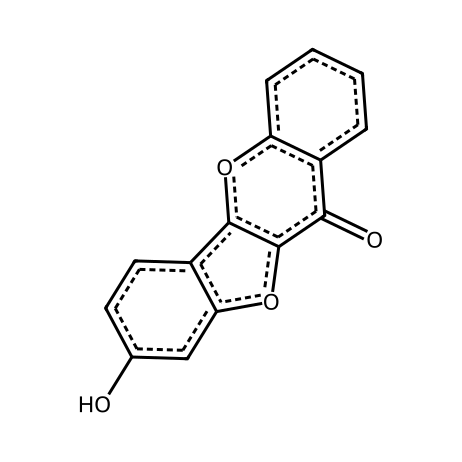 O=c1c2ccccc2oc2c1oc1cc(O)ccc12